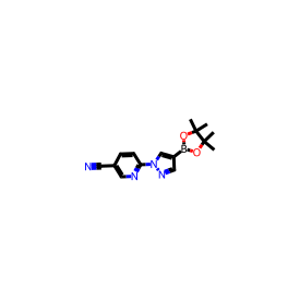 CC1(C)OB(c2cnn(-c3ccc(C#N)cn3)c2)OC1(C)C